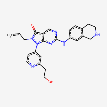 C=CCn1c(=O)c2cnc(Nc3ccc4c(c3)CNCC4)nc2n1-c1ccnc(CCO)c1